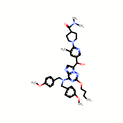 CCCCOc1nc(N(Cc2ccc(OC)cc2)Cc2ccc(OC)cc2)c2ncc(C(O)c3cnc(N4CCC(C(=O)N(C)C)CC4)c(C)c3)n2n1